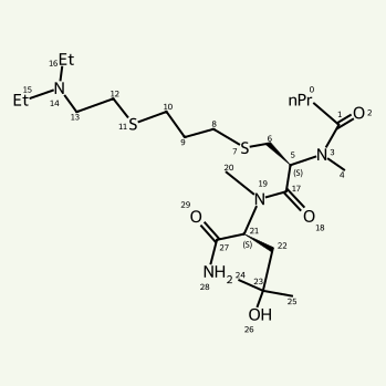 CCCC(=O)N(C)[C@H](CSCCCSCCN(CC)CC)C(=O)N(C)[C@@H](CC(C)(C)O)C(N)=O